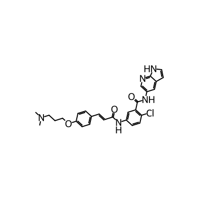 CN(C)CCCOc1ccc(C=CC(=O)Nc2ccc(Cl)c(C(=O)Nc3cnc4[nH]ccc4c3)c2)cc1